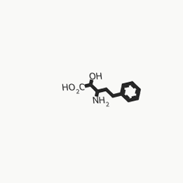 NC(CCc1ccccc1)C(O)C(=O)O